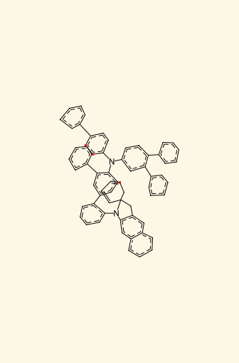 C1=CCC2(C=C1)Cc1cc3ccccc3cc1N2c1ccccc1-c1ccc(N(c2ccc(-c3ccccc3)cc2)c2ccc(-c3ccccc3)c(-c3ccccc3)c2)c(-c2ccccc2)c1